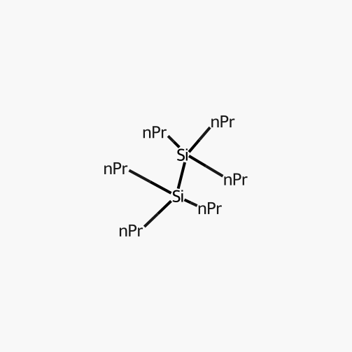 CCC[Si](CCC)(CCC)[Si](CCC)(CCC)CCC